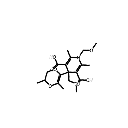 COCN1C(C)=C(C(=O)O)C(COC)(C2=C(C)OC(C)CO2)C(C(=O)O)=C1C